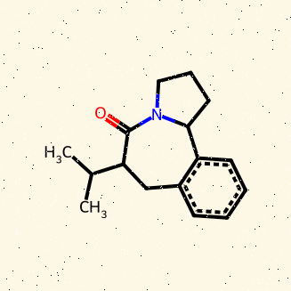 CC(C)C1Cc2ccccc2C2CCCN2C1=O